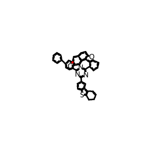 Clc1ccc2ccc3oc4cccc(-c5nc(-c6ccc(-c7ccccc7)cc6)nc(-c6ccc7sc8c(c7c6)C=CCC8)n5)c4c3c2c1